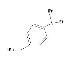 CCN(c1ccc(CC(C)(C)C)cc1)C(C)C